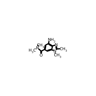 Cc1nc2c(N)cc(C(=O)N(C)C)cc2n1C